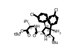 CC(C)[C@H](NC(=O)[C@H]1N[C@H](CC(C)(C)C)[C@@](N)(c2ccc(Cl)cc2)[C@@H]1c1cccc(Cl)c1)C(=O)OC(C)(C)C